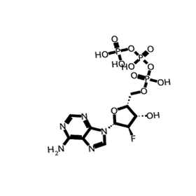 Nc1ncnc2c1ncn2[C@@H]1O[C@H](COP(=O)(O)OP(=O)(O)OP(=O)(O)O)[C@H](O)[C@H]1F